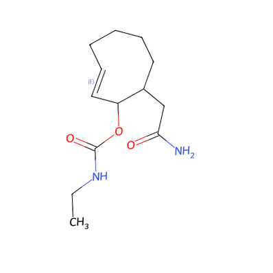 CCNC(=O)OC1/C=C/CCCCC1CC(N)=O